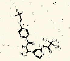 CC(NC(=O)c1ccc(OCC(F)(F)F)cn1)c1ccnc(NC(=O)C(C)(C)C)c1